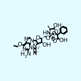 CCOc1nc(N)nc2c1ncn2C1O[C@H](COP(=O)(N[C@@H](C)C(=O)O)OC(C(=O)O)c2ccccc2)[C@@H](O)[C@@]1(C)N=[N+]=[N-]